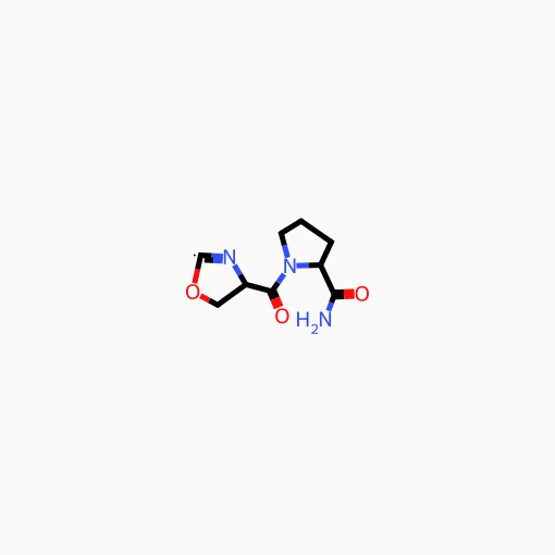 NC(=O)C1CCCN1C(=O)C1CO[C]=N1